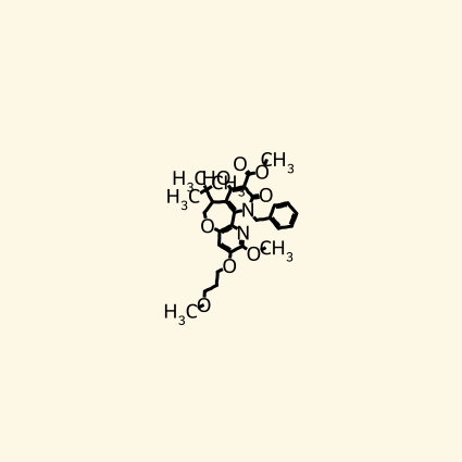 COCCCOc1cc2c(nc1OC)-c1c(c(O)c(C(=O)OC)c(=O)n1Cc1ccccc1)C(C(C)(C)C)CO2